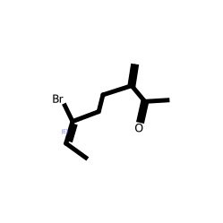 C=C(CC/C(Br)=C\C)C(C)=O